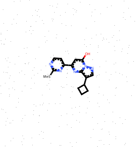 CSc1nccc(-c2cc(O)n3ncc(C4CCC4)c3n2)n1